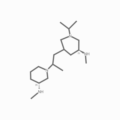 CN[C@@H]1CCCN(C(C)CC2C[C@H](NC)CN(C(C)C)C2)C1